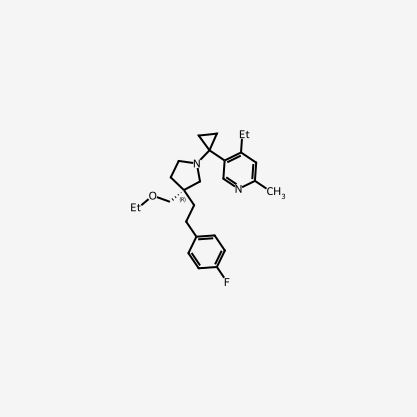 CCOC[C@]1(CCc2ccc(F)cc2)CCN(C2(c3cnc(C)cc3CC)CC2)C1